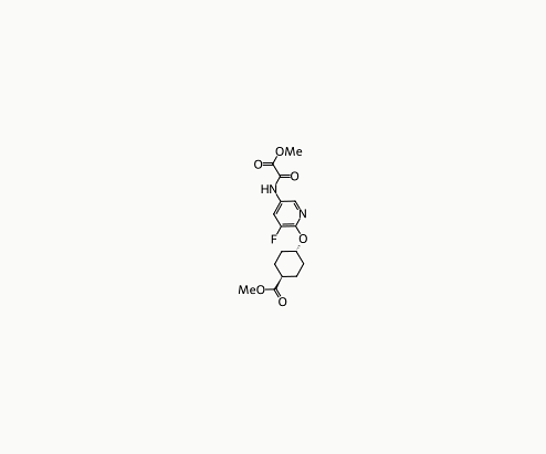 COC(=O)C(=O)Nc1cnc(O[C@H]2CC[C@H](C(=O)OC)CC2)c(F)c1